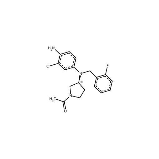 CC(=O)N1CC[C@H](N(Cc2ccccc2F)c2ccc(N)c(Cl)c2)C1